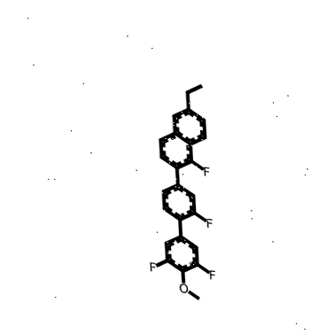 CCc1ccc2c(F)c(-c3ccc(-c4cc(F)c(OC)c(F)c4)c(F)c3)ccc2c1